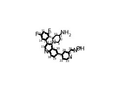 NC1CCN(c2c(-c3cc(F)cc(F)c3)cnc3ccc(-c4ccnc(C=NO)c4)cc23)CC1